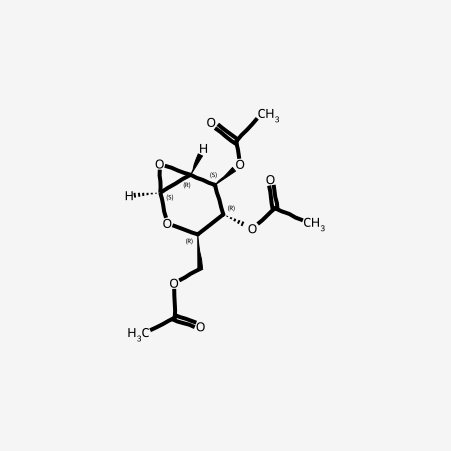 CC(=O)OC[C@H]1O[C@H]2O[C@@H]2[C@@H](OC(C)=O)[C@@H]1OC(C)=O